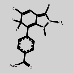 COC(=O)c1ccc(C2=C3C(=C(F)N(N)N3C)C=C(Cl)C2(F)F)cc1